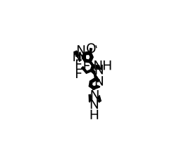 COc1cc(-c2[nH]nc(-c3ccc(N4CCNCC4)cn3)c2CC(F)(F)F)cn2ncnc12